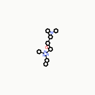 c1ccc(-c2nc(-c3ccc4ccccc4c3)nc(-c3cccc4c3oc3ccc(-c5ccc6c(c5)c5ccccc5n6-c5ccccc5)cc34)n2)cc1